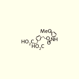 COc1cccc(NC(=O)OCCc2cccc(CC(C(=O)O)C(=O)O)c2)c1